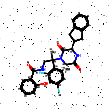 CC[C@H](C)[C@@H]1C(=O)N[C@H](C2Cc3ccccc3C2)C(=O)N1C(CNC(=O)c1ccccc1O)(c1ccc(F)cc1F)C(C)(C)C